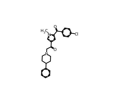 Cn1cc(C(=O)CN2CCC(c3ccccc3)CC2)cc1C(=O)c1ccc(Cl)cc1